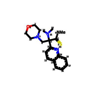 CNC(=S)C(CN1CCOCC1)(c1ccc2ccccc2n1)N(C)C